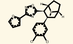 CN1[C@@H]2CC[C@H]1[C@H](c1nc(-c3ccco3)no1)[C@H](c1ccc(Cl)c(Cl)c1)C2